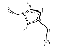 N#CCc1coc(Cl)n1